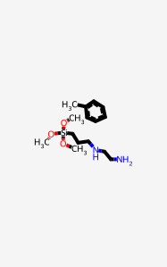 CO[Si](CCCNCCN)(OC)OC.Cc1ccccc1